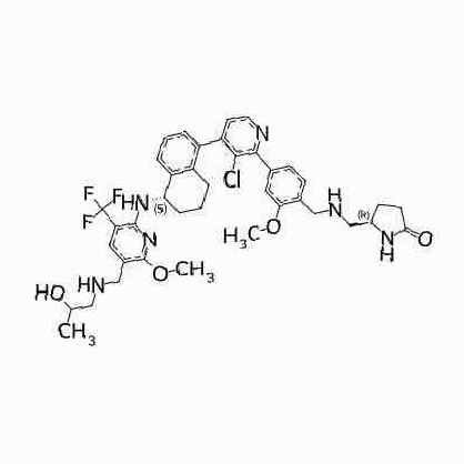 COc1cc(-c2nccc(-c3cccc4c3CCC[C@@H]4Nc3nc(OC)c(CNCC(C)O)cc3C(F)(F)F)c2Cl)ccc1CNC[C@H]1CCC(=O)N1